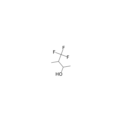 CC(O)C(C)C(F)(F)F